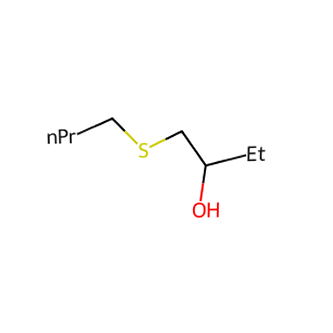 CCCCSCC(O)CC